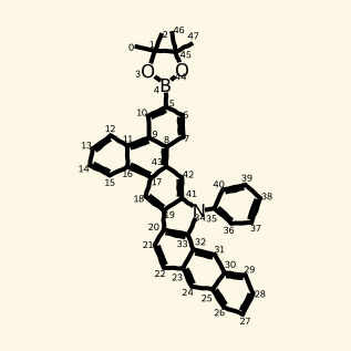 CC1(C)OB(c2ccc3c(c2)c2ccccc2c2cc4c5ccc6cc7ccccc7cc6c5n(-c5ccccc5)c4cc32)OC1(C)C